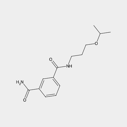 CC(C)OCCCNC(=O)c1cccc(C(N)=O)c1